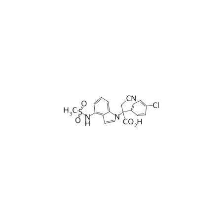 CS(=O)(=O)Nc1cccc2c1ccn2C(CC#N)(C(=O)O)c1ccc(Cl)cc1